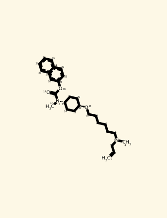 C=CCN(C)CCCCCCO[C@H]1CC[C@H](N(C)C(=O)Oc2ccc3ccccc3c2)CC1